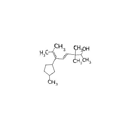 CC(C)=C(C=CC(C)(C)C(C)O)C1CCC(C)C1